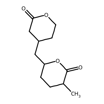 CC1CCC(CC2CCOC(=O)C2)OC1=O